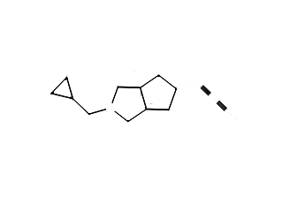 [N-]=[N+]=N[C@H]1C[C@@H]2CN(CC3CC3)C[C@@H]2C1